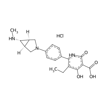 CCc1c(-c2ccc(N3C[C@@H]4[C@H](C3)[C@H]4NC)cc2)[nH]c(=O)c(C(=O)O)c1O.Cl